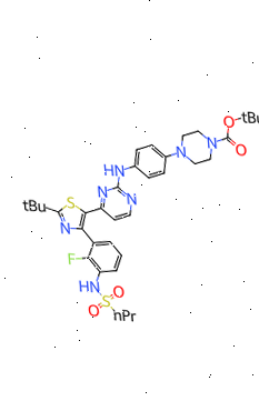 CCCS(=O)(=O)Nc1cccc(-c2nc(C(C)(C)C)sc2-c2ccnc(Nc3ccc(N4CCN(C(=O)OC(C)(C)C)CC4)cc3)n2)c1F